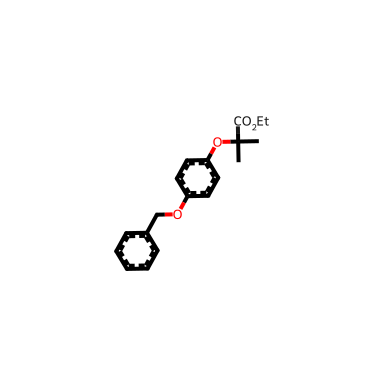 CCOC(=O)C(C)(C)Oc1ccc(OCc2ccccc2)cc1